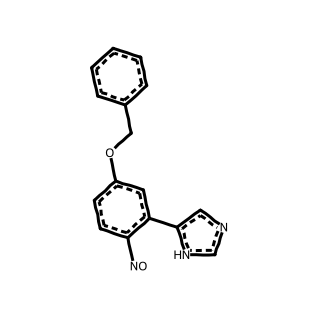 O=Nc1ccc(OCc2ccccc2)cc1-c1cnc[nH]1